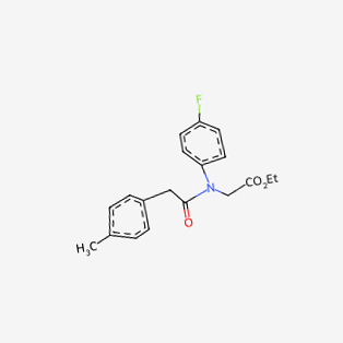 CCOC(=O)CN(C(=O)Cc1ccc(C)cc1)c1ccc(F)cc1